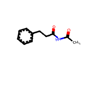 CC(=O)NC(=O)CCc1ccccc1